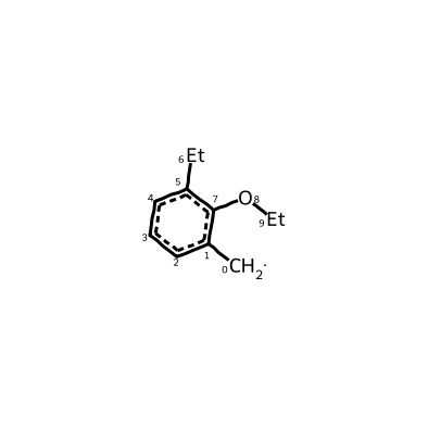 [CH2]c1cccc(CC)c1OCC